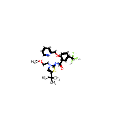 COCCn1cc(C(C)(C)C)s/c1=N\C(=O)c1cc(C(F)(F)F)ccc1OCc1ccccn1